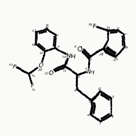 O=C(NC(Cc1ccccc1)C(=O)Nc1ccccc1OC(F)F)c1ccccc1F